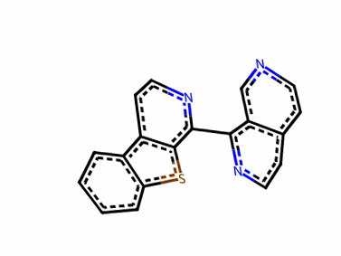 c1ccc2c(c1)sc1c(-c3nccc4ccncc34)nccc12